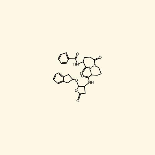 O=C1CC(NC(=O)C2CCCN3C(=O)CCC(NC(=O)c4ccccc4)C(=O)N23)C(OC2Cc3ccccc3C2)O1